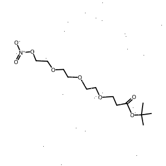 CC(C)(C)OC(=O)CCOCCOCCOCCO[N+](=O)[O-]